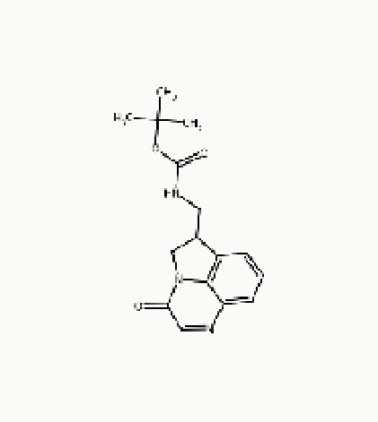 CC(C)(C)OC(=O)NCC1Cn2c(=O)cnc3cccc1c32